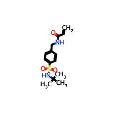 C=CC(=O)NCc1ccc(S(=O)(=O)NC(C)(C)C)cc1